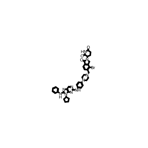 O=C1CCC(N2Cc3c(ccc(CN4CCN(c5ccc(Nc6ncc7nc(Nc8ccccc8)n(C8CCCC8)c7n6)cc5)CC4)c3Br)C2=O)C(=O)N1